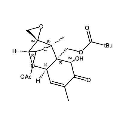 CC(=O)OC1C[C@]2(C)[C@@]3(COC(=O)C(C)(C)C)[C@H](O)C(=O)C(C)=C[C@H]3O[C@H]1[C@@]21CO1